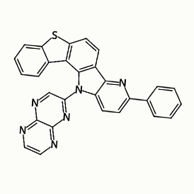 c1ccc(-c2ccc3c(n2)c2ccc4sc5ccccc5c4c2n3-c2cnc3nccnc3n2)cc1